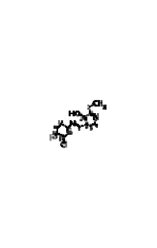 CCc1nccc(C=Nc2ccc(F)c(Cl)c2)c1O